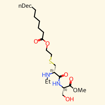 CCCCCCCCCCCCCCCC(=O)OCCSC[C@@H](NCC)C(=O)N[C@@H](CO)C(=O)OC